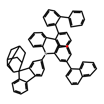 c1ccc(-c2ccccc2-c2ccccc2-c2ccccc2N(c2cccc(-c3cccc4ccccc34)c2)c2ccc3c(c2)C2(c4ccccc4-3)C3CC4CC(C3)CC2C4)cc1